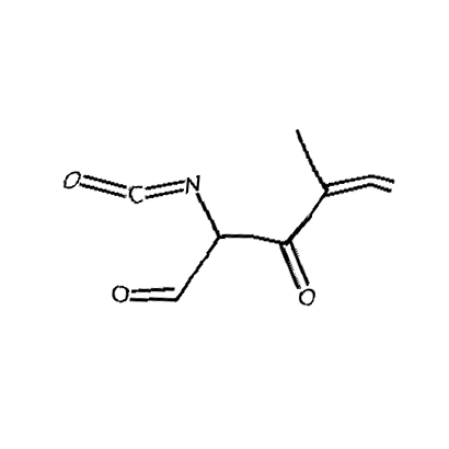 C=C(C)C(=O)C(C=O)N=C=O